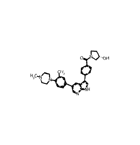 Cc1cc(-c2cnc3[nH]cc(-c4ccc(C(=O)N5CC[C@H](O)C5)cc4)c3c2)ccc1N1CCN(C)CC1